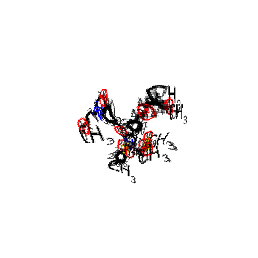 COCCCN1CCOc2ccc(CO[C@H]3CN(S(=O)(=O)c4ccc(C)cc4)[C@@H](C[C@H](C)OS(C)(=O)=O)C[C@@H]3c3ccc(COC[C@@H](C)COC)cc3)cc21